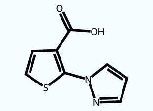 O=C(O)c1ccsc1-n1cccn1